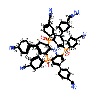 N#Cc1ccc(-c2cc3c4c(c2)P(=O)(c2ccc(C#N)cc2)c2cc(-c5ccc(C#N)cc5)cc5c2N4c2c(cc(-c4ccc(C#N)cc4)cc2P5(=O)c2ccc(C#N)cc2)P3(=O)c2ccc(C#N)cc2)cc1